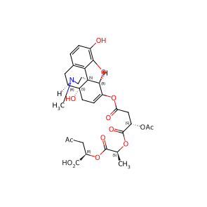 CC(=O)C[C@@H](OC(=O)[C@H](C)OC(=O)[C@H](CC(=O)OC1=CC[C@@]2(O)[C@H]3Cc4ccc(O)c5c4[C@@]2(CCN3C)[C@H]1O5)OC(C)=O)C(=O)O